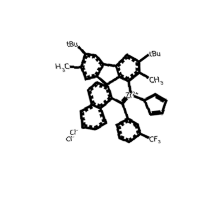 Cc1cc2c(cc1C(C)(C)C)-c1cc(C(C)(C)C)c(C)[c]([Zr+2](=[C](c3cccc(C(F)(F)F)c3)c3cccc4ccccc34)[CH]3C=CC=C3)c1C2.[Cl-].[Cl-]